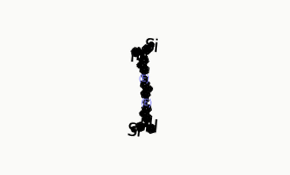 CC1(C)c2cc(/C=C/c3ccc4c(c3)C(C)(C)c3cc(N(c5ccc([Si](C)(C)C)cc5)c5ccccn5)ccc3-4)ccc2-c2ccc(/C=C/c3ccc4c(c3)C(C)(C)c3cc(N(c5ccc([Si](C)(C)C)cc5)c5ccccn5)ccc3-4)cc21